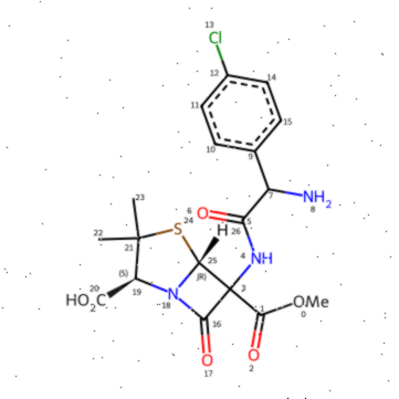 COC(=O)C1(NC(=O)C(N)c2ccc(Cl)cc2)C(=O)N2[C@@H](C(=O)O)C(C)(C)S[C@@H]21